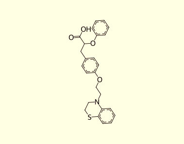 O=C(O)C(Cc1ccc(OCCN2CCSc3ccccc32)cc1)Oc1ccccc1